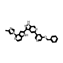 Cc1cn(-c2nccc3[nH]c(-c4n[nH]c5cnc(-c6cncc(OCc7ccccc7)c6)cc45)cc23)cn1